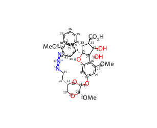 COc1ccc([C@@]23Oc4cc(O[C@@H]5O[C@@H](CCN=[N+]=[N-])CO[C@H]5OC)cc(OC)c4[C@]2(O)[C@H](O)[C@H](C(=O)O)[C@H]3c2ccccc2)cc1